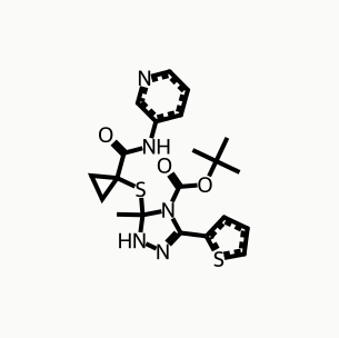 CC(C)(C)OC(=O)N1C(c2cccs2)=NNC1(C)SC1(C(=O)Nc2cccnc2)CC1